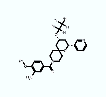 [2H]C([2H])([2H])C([2H])([2H])O[C@@H]1C[C@H](c2cccnc2)OC2(CCN(C(=O)c3ccc(OC(C)C)c(C)c3)CC2)C1